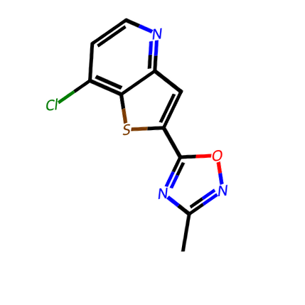 Cc1noc(-c2cc3nccc(Cl)c3s2)n1